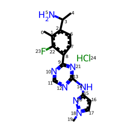 Cc1c(C(C)N)ccc(-c2ncnc(Nc3ccn(C)n3)n2)c1F.Cl